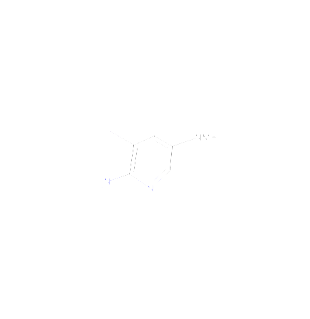 CNc1cnc(N)c(I)c1